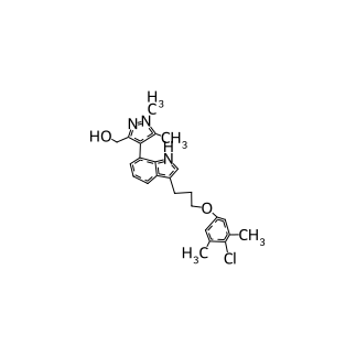 Cc1cc(OCCCc2c[nH]c3c(-c4c(CO)nn(C)c4C)cccc23)cc(C)c1Cl